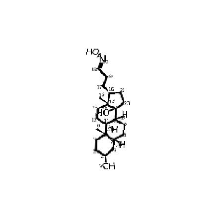 C[C@]12CC[C@H](O)C[C@H]1CC[C@@H]1[C@@H]2CC[C@]2(C)[C@@H](CC/C=N/O)CC[C@]12O